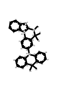 CN1c2nc3ccccc3n2-c2ccc(N3c4ccccc4C(C)(C)c4ccccc43)cc2C1(C)C